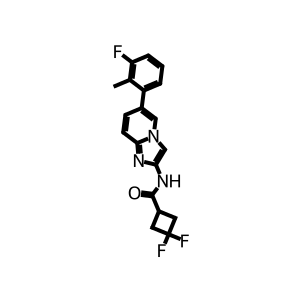 Cc1c(F)cccc1-c1ccc2nc(NC(=O)C3CC(F)(F)C3)cn2c1